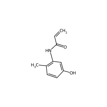 C=CC(=O)Nc1cc(O)ccc1C